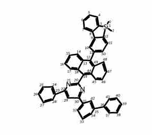 C[Si]1(C)c2ccccc2-c2cc(-c3c4ccccc4c(-c4nc(-c5ccccc5)cc(-c5cccc(-c6ccccc6)c5)n4)c4ccccc34)ccc21